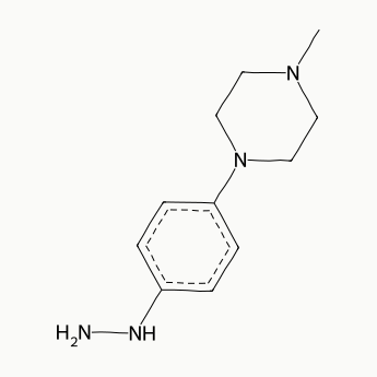 CN1CCN(c2ccc(NN)cc2)CC1